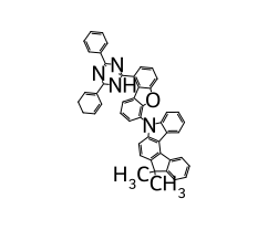 CC1(C)c2ccccc2-c2c1ccc1c2c2ccccc2n1-c1cccc2c1oc1cccc(C3=NC(c4ccccc4)=NC(C4=CCCC=C4)N3)c12